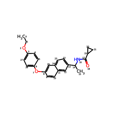 CCOc1ccc(Oc2ccc3cc(C(C)NC(=O)C4CC4)ccc3c2)cc1